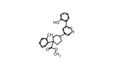 COC(=O)C1(c2ccccc2C)CCN(c2cnnc(-c3ccccc3O)c2)CC1